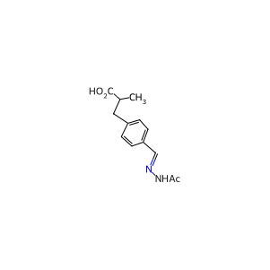 CC(=O)N/N=C/c1ccc(CC(C)C(=O)O)cc1